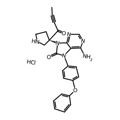 CC#CC(=O)[C@@]1(n2c(=O)n(-c3ccc(Oc4ccccc4)cc3)c3c(N)ncnc32)CCNC1.Cl